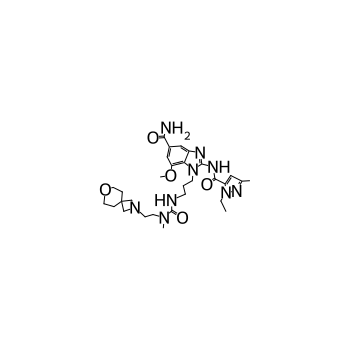 CCn1nc(C)cc1C(=O)Nc1nc2cc(C(N)=O)cc(OC)c2n1CCCNC(=O)N(C)CCN1CC2(CCOCC2)C1